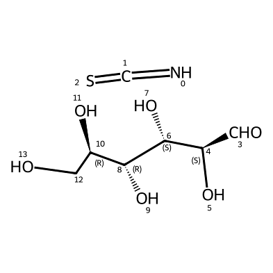 N=C=S.O=C[C@@H](O)[C@@H](O)[C@H](O)[C@H](O)CO